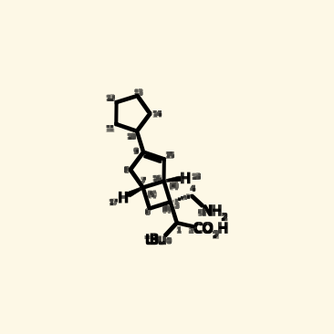 CC(C)(C)C(C(=O)O)[C@@]1(CN)C[C@@H]2CC(C3CCCC3)=C[C@@H]21